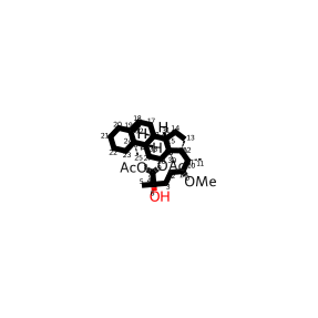 COC(CCC(C)(O)C(OC(C)=O)OC(C)=O)[C@@H](C)[C@H]1CC[C@H]2[C@@H]3CC=C4CCCC[C@]4(C)[C@H]3CC[C@]12C